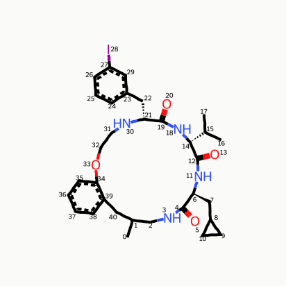 CC1CNC(=O)[C@H](CC2CC2)NC(=O)[C@@H](C(C)C)NC(=O)[C@@H](Cc2cccc(I)c2)NCCOc2ccccc2C1